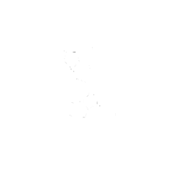 Cc1[nH]cnc1/C=C1/CCc2c(c3ccc(F)cc3n2C)C1=O